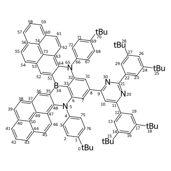 CC(C)(C)c1ccc(N2c3cc(-c4cc(-c5cc(C(C)(C)C)cc(C(C)(C)C)c5)nc(-c5cc(C(C)(C)C)cc(C(C)(C)C)c5)n4)cc4c3B(c3cc5ccc6cccc7ccc(c32)c5c67)c2cc3ccc5cccc6ccc(c2N4c2ccc(C(C)(C)C)cc2)c3c56)cc1